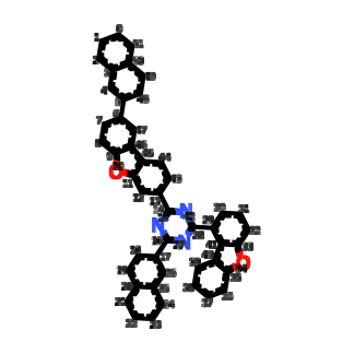 c1ccc2cc(-c3ccc4oc5cc(-c6nc(-c7ccc8ccccc8c7)nc(-c7cccc8oc9ccccc9c78)n6)ccc5c4c3)ccc2c1